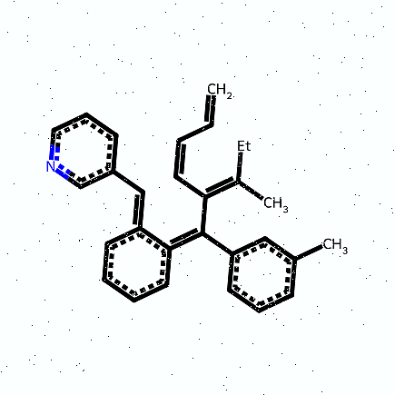 C=C\C=C/C(C(/c1cccc(C)c1)=c1/cccc/c1=C\c1cccnc1)=C(/C)CC